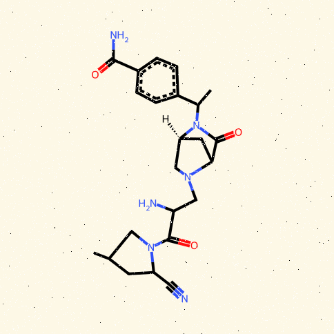 CC1CC(C#N)N(C(=O)C(N)CN2C[C@@H]3CC2C(=O)N3C(C)c2ccc(C(N)=O)cc2)C1